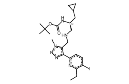 CCc1nc(-c2nnn(C)c2CNC[C@H](CC2CC2)NC(=O)OC(C)(C)C)ccc1I